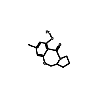 Cc1cc2c(c(OC(C)C)c1)C(=O)N1CCCC1CO2